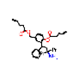 C=CCCC(=O)OCc1ccc(OC(=O)CCC=C)c(C(CC(N)(C(C)C)C(C)C)c2ccccc2)c1